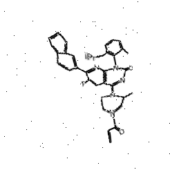 C=CC(=O)N1CCN(c2nc(=O)n(-c3c(C)cccc3C(C)C)c3nc(-c4ccc5ccccc5c4)c(F)cc23)C(C)C1